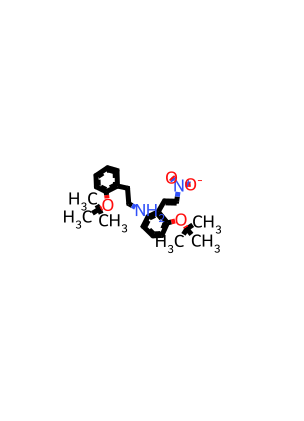 CC(C)(C)Oc1ccccc1/C=C/[N+](=O)[O-].CC(C)(C)Oc1ccccc1CCN